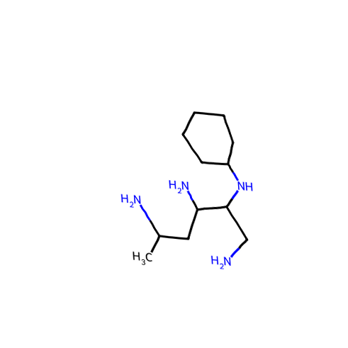 CC(N)CC(N)C(CN)NC1CCCCC1